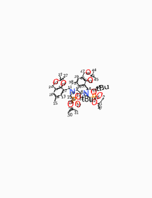 C=C(C)OP(=O)(CN(CCN(Cc1cc(C)cc2c1OC(C)(C)OC2)CP(=O)(OC(=C)C)OC(C)(C)C)Cc1cc(C)cc2c1OC(C)(C)OC2)OC(C)(C)C